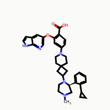 CN1CCN(C2CC3(CCN(c4ccc(C(=O)O)c(Oc5cnc6[nH]ccc6c5)c4)CC3)C2)[C@@H](c2ccccc2C2CC2)C1